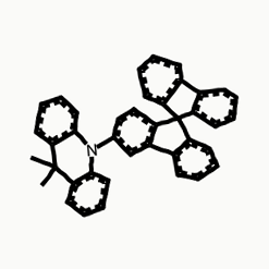 CC1(C)c2ccccc2N(c2ccc3c(c2)-c2ccccc2C32c3ccccc3-c3ccccc32)c2ccccc21